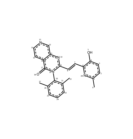 Cc1ccc(O)c(/C=C/c2nc3cnccc3c(=O)n2-c2c(C)cccc2C)n1